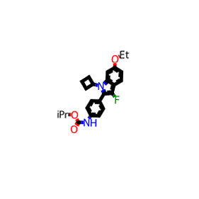 CCOc1ccc2c(F)c(-c3ccc(NC(=O)OC(C)C)cc3)n(C3CCC3)c2c1